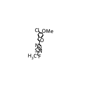 COc1cc2oc(-c3cn4nc(C(C)F)sc4n3)cc2cc1Cl